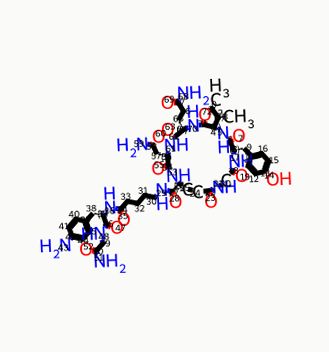 CC[C@H](C)[C@@H]1NC(=O)[C@H](Cc2ccc(O)cc2)NC(=O)CNC(=O)CC[C@@H](C(=O)NCCCCC(=O)N[C@@H](Cc2ccc(N)cc2)C(=O)NCC(N)=O)NC(=O)[C@H](CC(N)=O)NC(=O)[C@H](CCC(N)=O)NC1=O